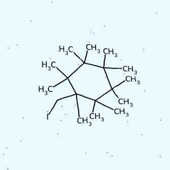 CC1(C)C(C)(C)C(C)(C)C(C)(CI)C(C)(C)C1(C)C